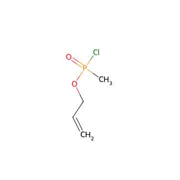 C=CCOP(C)(=O)Cl